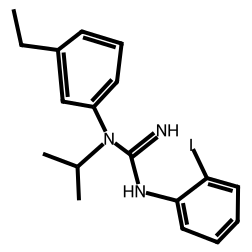 CCc1cccc(N(C(=N)Nc2ccccc2I)C(C)C)c1